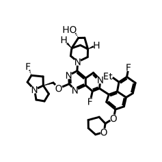 CCc1c(F)ccc2cc(OC3CCCCO3)cc(-c3ncc4c(N5C[C@@H]6C[C@H](C5)[C@H](O)C6)nc(OC[C@@]56CCCN5C[C@H](F)C6)nc4c3F)c12